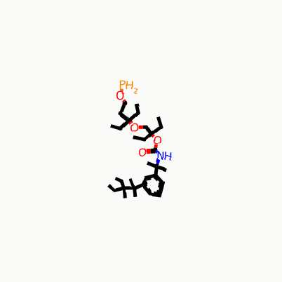 CCC(CC)(CCOP)OCC(CC)(CC)OC(=O)NC(C)(C)c1cccc(C(C)(C)C(C)(CC)CC)c1